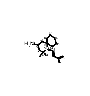 C=C(C)C=CN1C(C)(C)CC(N)CC12CCCCC2